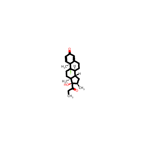 CCC(=O)[C@@]1(O)[C@H](C)C[C@H]2[C@@H]3CCC4=CC(=O)C=C[C@]4(C)[C@@]3(F)CC[C@@]21C